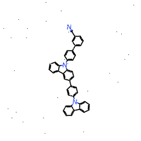 N#Cc1cccc(-c2ccc(-n3c4ccccc4c4cc(-c5ccc(-n6c7ccccc7c7ccccc76)cc5)ccc43)cc2)c1